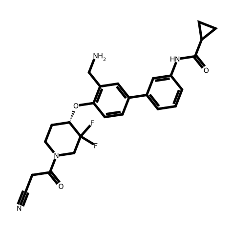 N#CCC(=O)N1CC[C@H](Oc2ccc(-c3cccc(NC(=O)C4CC4)c3)cc2CN)C(F)(F)C1